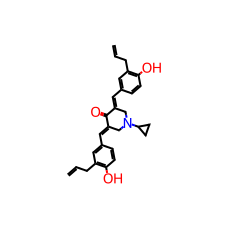 C=CCc1cc(/C=C2\CN(C3CC3)C/C(=C\c3ccc(O)c(CC=C)c3)C2=O)ccc1O